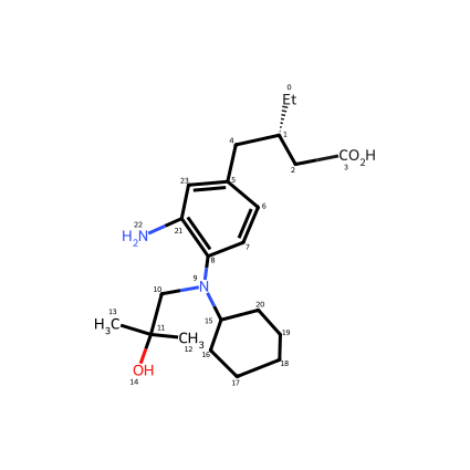 CC[C@H](CC(=O)O)Cc1ccc(N(CC(C)(C)O)C2CCCCC2)c(N)c1